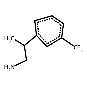 CC(CN)c1cccc(C(F)(F)F)c1